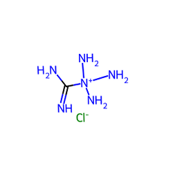 N=C(N)[N+](N)(N)N.[Cl-]